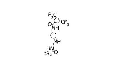 CC(C)(C)C(=O)NCCN[C@H]1CC[C@H](CNC(=O)c2cc(C(F)(F)F)cc(C(F)(F)F)c2)CC1